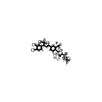 Cc1c(C(/C=C(\F)c2ccc(C(=O)NC(C)CS(=O)(=O)CC(F)(F)F)c(C(F)(F)F)c2)C(F)(F)F)ccc(Cl)c1Cl